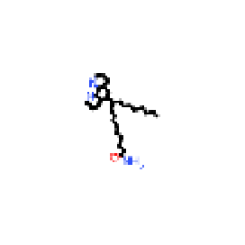 CCCCCCCCC(CCCCCCCCC(N)=O)c1cc2cccnc2c2ncccc12